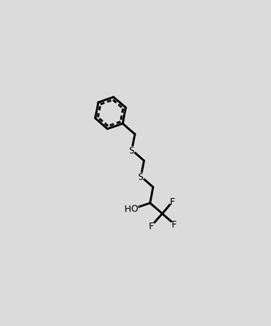 OC(CSCSCc1ccccc1)C(F)(F)F